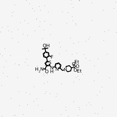 CCOP(=O)(OCC)C1CCN(Cc2cccc(Nc3sc(-c4ccc(C(C)(C)O)cc4F)cc3C(N)=O)n2)CC1